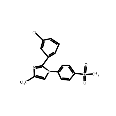 CS(=O)(=O)c1ccc(-n2cc(C(Cl)(Cl)Cl)nc2-c2cccc(Cl)c2)cc1